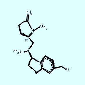 C=C1CC[C@H](CN(C)C2CCc3cc(C(C)C)ccc32)N1C